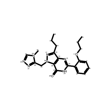 CCCOc1ccccc1-c1nc2c(CCC)nn(Cc3nncn3C)c2c(=O)[nH]1